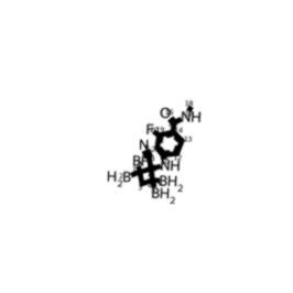 BC1(B)CC(B)(B)C1(C#N)Nc1ccc(C(=O)NC)c(F)c1